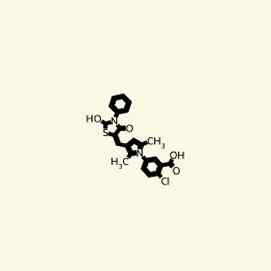 Cc1cc(/C=C2/SC(O)N(c3ccccc3)C2=O)c(C)n1-c1ccc(Cl)c(C(=O)O)c1